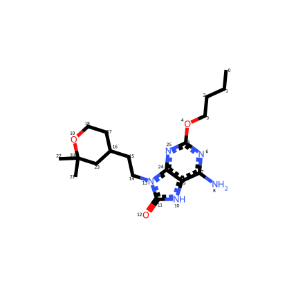 CCCCOc1nc(N)c2[nH]c(=O)n(CCC3CCOC(C)(C)C3)c2n1